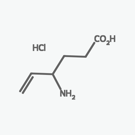 C=CC(N)CCC(=O)O.Cl